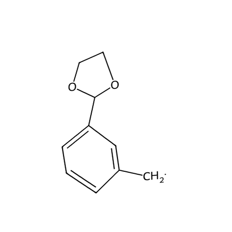 [CH2]c1cccc(C2OCCO2)c1